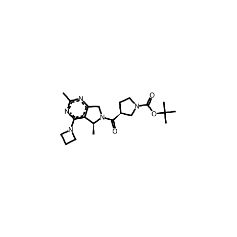 Cc1nc2c(c(N3CCC3)n1)[C@H](C)N(C(=O)[C@H]1CCN(C(=O)OC(C)(C)C)C1)C2